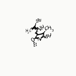 C=C(NCc1c(OCC)n[nH]c1C)C(C)(C)C